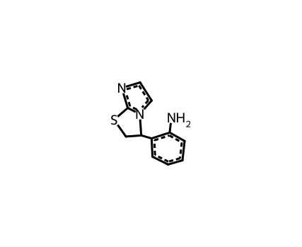 Nc1ccccc1C1CSc2nccn21